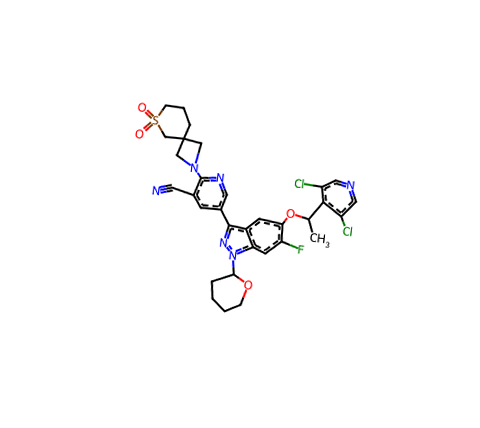 CC(Oc1cc2c(-c3cnc(N4CC5(CCCS(=O)(=O)C5)C4)c(C#N)c3)nn(C3CCCCO3)c2cc1F)c1c(Cl)cncc1Cl